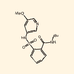 CCC(C)NC(=O)c1ccccc1S(=O)(=O)Nc1cncc(OC)c1